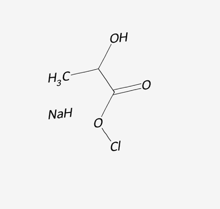 CC(O)C(=O)OCl.[NaH]